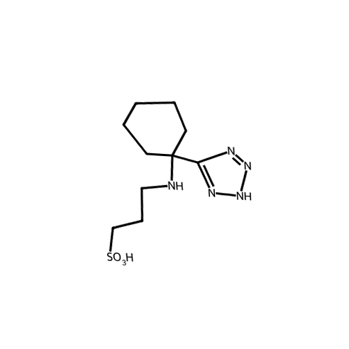 O=S(=O)(O)CCCNC1(c2nn[nH]n2)CCCCC1